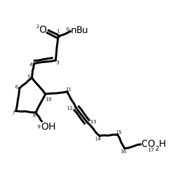 CCCCC(=O)C=CC1CCC(O)C1CC#CCCCC(=O)O